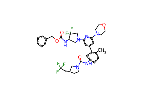 Cc1ccc(NC(=O)N2CC[C@@H](CC(F)(F)F)C2)cc1-c1cc(N2CCOCC2)nc(N2CC(NC(=O)OCc3ccccc3)C(F)(F)C2)c1